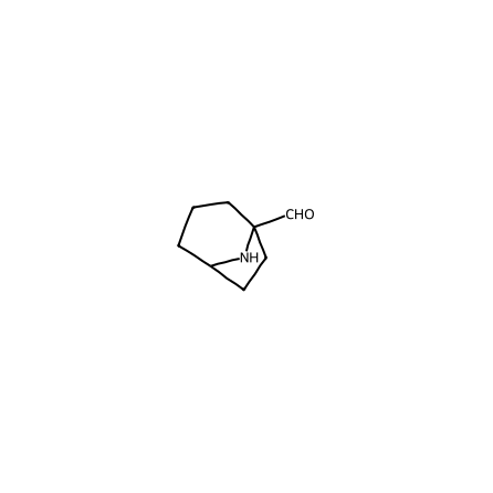 O=CC12CCCC(CC1)N2